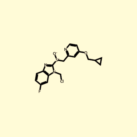 [O-][S+](Cc1cc(OCC2CC2)ccn1)c1nc2ccc(F)cc2n1CCl